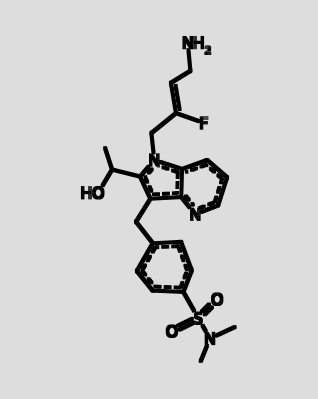 CC(O)c1c(Cc2ccc(S(=O)(=O)N(C)C)cc2)c2ncccc2n1C/C(F)=C/CN